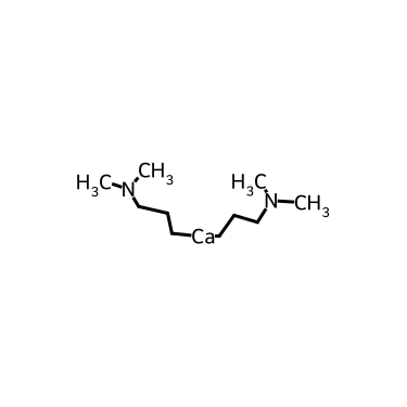 CN(C)CC[CH2][Ca][CH2]CCN(C)C